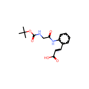 CC(C)(C)OC(=O)NCC(=O)Nc1ccccc1/C=C/C(=O)O